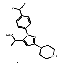 COC(C)c1cc(N2CCNCC2)nn1-c1ccc(C(F)F)cc1